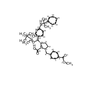 COC(=O)c1ccc(C[C@@H]2CC[C@H](C(O[Si](C)(C)C(C)(C)C)c3ccc(NC(C)(C)c4ccccc4)nc3)N2C(=O)O)cc1